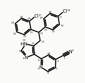 N#Cc1ccnc(-c2nc[nH]c2CC(c2ccc(Cl)cc2)c2ccccc2Cl)c1